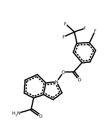 NC(=O)c1cccc2c1ccn2OC(=O)c1ccc(F)c(C(F)(F)F)c1